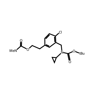 CNC(=O)OCCc1ccc(Cl)c(CN(C(=O)OC(C)(C)C)C2CC2)c1